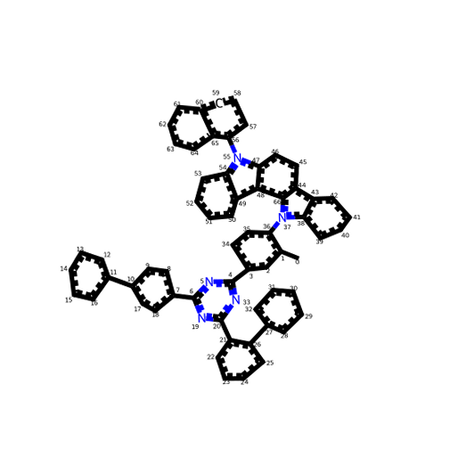 Cc1cc(-c2nc(-c3ccc(-c4ccccc4)cc3)nc(-c3ccccc3-c3ccccc3)n2)ccc1-n1c2ccccc2c2ccc3c(c4ccccc4n3-c3cccc4ccccc34)c21